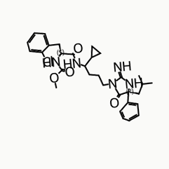 COC(=O)N[C@@H](Cc1ccccc1Cl)C(=O)NC(CCCN1C(=N)N[C@](CC(C)C)(c2ccccc2)C1=O)C1CC1